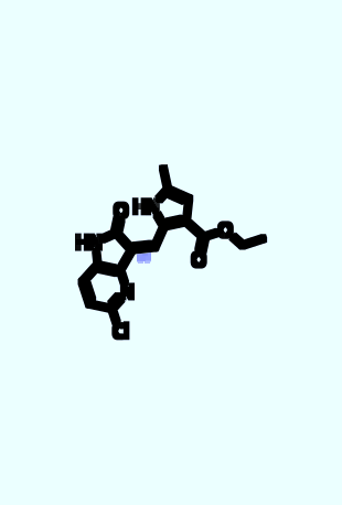 CCOC(=O)c1cc(C)[nH]c1/C=C1\C(=O)Nc2ccc(Cl)nc21